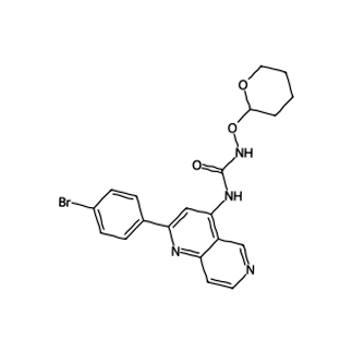 O=C(NOC1CCCCO1)Nc1cc(-c2ccc(Br)cc2)nc2ccncc12